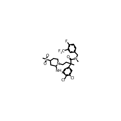 CN(Cc1ccc(F)c(C(F)(F)F)c1)C(=O)C(C)(CCN1CCC(S(C)(=O)=O)CC1N)c1ccc(Cl)c(Cl)c1